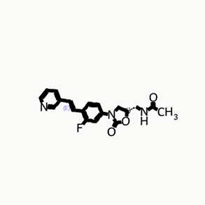 CC(=O)NC[C@H]1CN(c2ccc(/C=C/c3cccnc3)c(F)c2)C(=O)O1